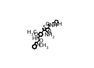 COc1cc(-c2csc3c(C(=O)NCC4CCCN4)cnc(N)c23)ccc1NC(=O)c1cc2ccccc2n1C